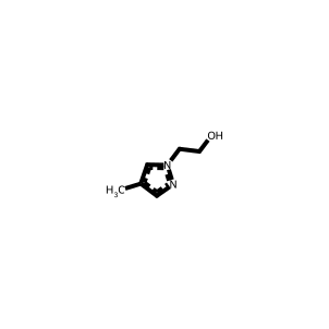 Cc1cnn(CCO)c1